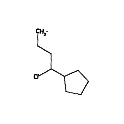 [CH2]CCC(Cl)C1CCCC1